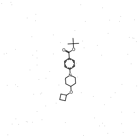 CC(C)(C)OC(=O)c1ccc(N2CCC(OC3CCC3)CC2)cc1